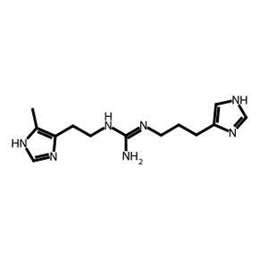 Cc1[nH]cnc1CCN/C(N)=N/CCCc1c[nH]cn1